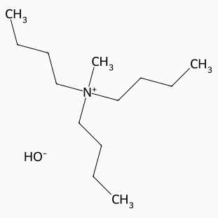 CCCC[N+](C)(CCCC)CCCC.[OH-]